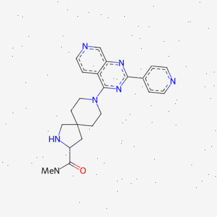 CNC(=O)C1CC2(CCN(c3nc(-c4ccncc4)nc4cnccc34)CC2)CN1